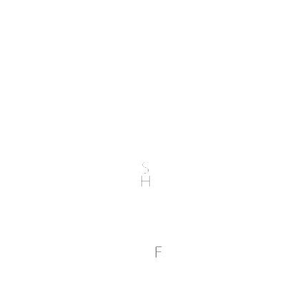 Fc1ccccc1[SH](c1ccccc1)c1ccccc1